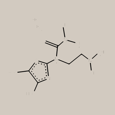 Cc1nc(N(CCN(C)C)C(=O)N(C)C)sc1C.Cl.Cl